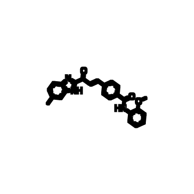 COc1ccccc1NC(=O)c1ccc(C=CC(=O)c2nc3ccc(C)cc3[nH]2)cc1